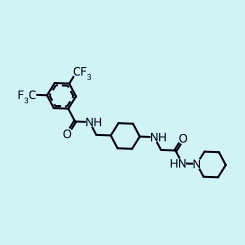 O=C(CNC1CCC(CNC(=O)c2cc(C(F)(F)F)cc(C(F)(F)F)c2)CC1)NN1CCCCC1